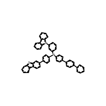 c1ccc(-c2ccc(-c3ccc(N(c4ccc(-c5ccc6c(c5)sc5ccccc56)cc4)c4cccc(-n5c6ccccc6c6ccccc65)c4)cc3)cc2)cc1